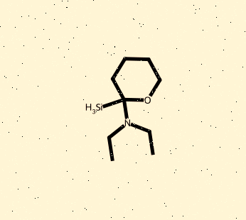 CCN(CC)C1([SiH3])CCCCO1